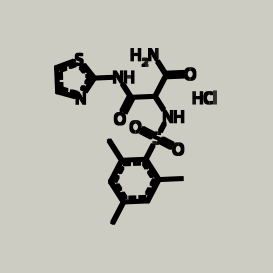 Cc1cc(C)c(S(=O)(=O)NC(C(N)=O)C(=O)Nc2nccs2)c(C)c1.Cl